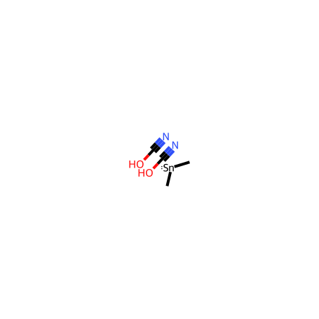 N#CO.N#CO.[CH3][Sn][CH3]